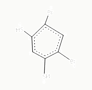 Sc1cc(S)c(Br)cc1Br